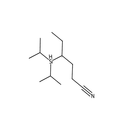 CC[C](CCC#N)[SiH](C(C)C)C(C)C